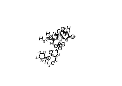 CCC(CCOP1(=O)C[C@@H]([C@@](C)(N)n2ccc(=O)[nH]c2=O)[C@H](OC)CO1)C(=O)OC1CCCC1